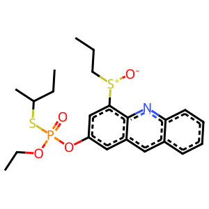 CCC[S+]([O-])c1cc(OP(=O)(OCC)SC(C)CC)cc2cc3ccccc3nc12